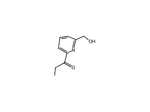 CCC(=O)c1cccc(CO)n1